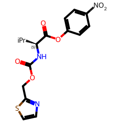 CC(C)[C@H](NC(=O)OCc1nccs1)C(=O)Oc1ccc([N+](=O)[O-])cc1